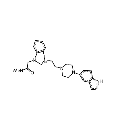 CNC(=O)CN1C[C@@H](CCN2CCN(c3ccc4[nH]ccc4c3)CC2)c2ccccc21